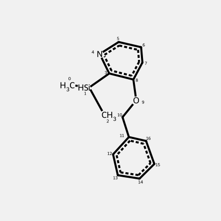 C[SiH](C)c1ncccc1OCc1ccccc1